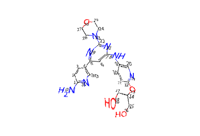 Nc1ccc(-c2cc(Nc3ccc(OC(CO)CO)nc3)nc(N3CCOCC3)n2)cn1